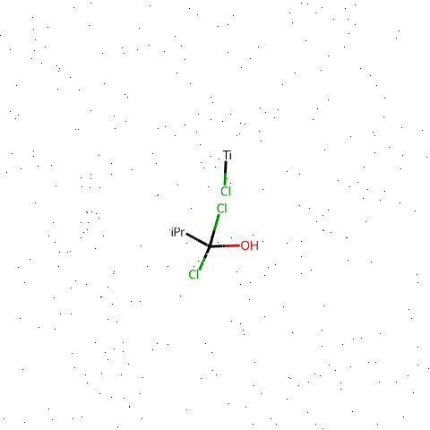 CC(C)C(O)(Cl)Cl.[Cl][Ti]